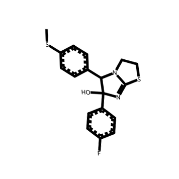 CSc1ccc(C2N3CCSC3=NC2(O)c2ccc(F)cc2)cc1